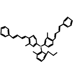 CCCc1cccc(C)c1N(c1ccc(/C=C/C=C/c2ccccc2)c(C)c1)c1ccc(/C=C/C=C/c2ccccc2)c(C)c1